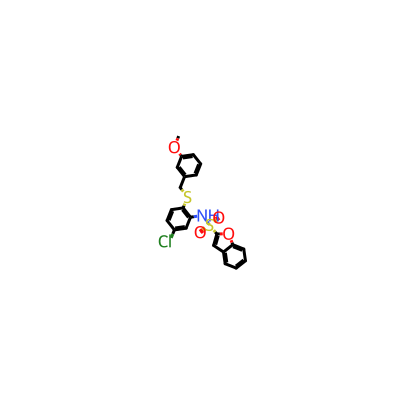 COc1cccc(CSc2ccc(Cl)cc2NS(=O)(=O)c2cc3ccccc3o2)c1